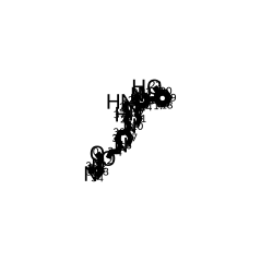 O=C(OCCN1CCC(N2CCN3c4cc(-c5ccccc5O)nnc4NC[C@H]3C2)CC1)n1ccnc1